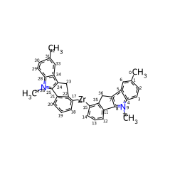 Cc1ccc2c(c1)c1c(n2C)-c2ccc[c]([Zr][c]3cccc4c3Cc3c-4n(C)c4ccc(C)cc34)c2C1